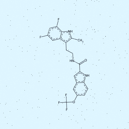 Cc1[nH]c2c(F)cc(F)cc2c1CCNC(=O)c1cc2cc(OC(F)(F)F)ccc2[nH]1